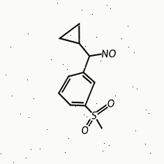 CS(=O)(=O)c1cccc(C(N=O)C2CC2)c1